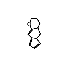 C1=CC2CC3CCCOC3=CC2=C1